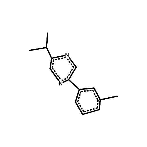 Cc1cccc(-c2cnc(C(C)C)cn2)c1